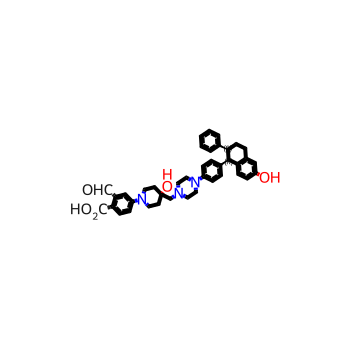 O=Cc1cc(N2CCC(O)(CN3CCN(c4ccc([C@@H]5c6ccc(O)cc6CC[C@@H]5c5ccccc5)cc4)CC3)CC2)ccc1C(=O)O